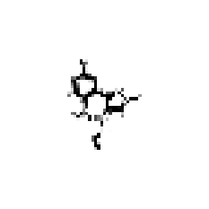 CCONc1cn(C)nc1-c1cc(Cl)ccc1OC